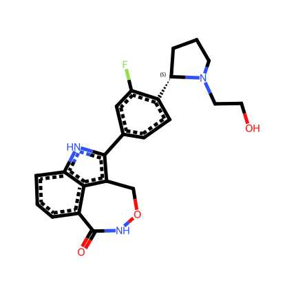 O=C1NOCc2c(-c3ccc([C@@H]4CCCN4CCO)c(F)c3)[nH]c3cccc1c23